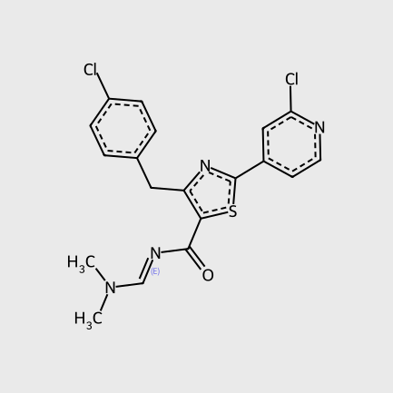 CN(C)/C=N/C(=O)c1sc(-c2ccnc(Cl)c2)nc1Cc1ccc(Cl)cc1